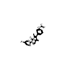 Cc1c(-c2cccc(OC(F)F)c2)c(C)n2c(=O)n(-c3ncc(F)cn3)ncc12